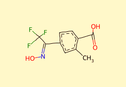 Cc1cc(C(=NO)C(F)(F)F)ccc1C(=O)O